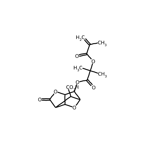 C=C(C)C(=O)OC(C)(C)C(=O)OC1C2OC(=O)C3C2OC1C3C(=O)O